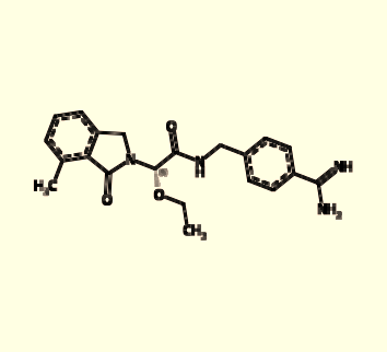 CCO[C@@H](C(=O)NCc1ccc(C(=N)N)cc1)N1Cc2cccc(C)c2C1=O